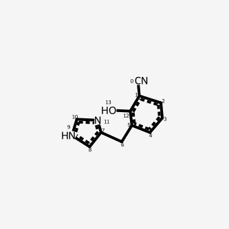 N#Cc1cccc(Cc2c[nH]cn2)c1O